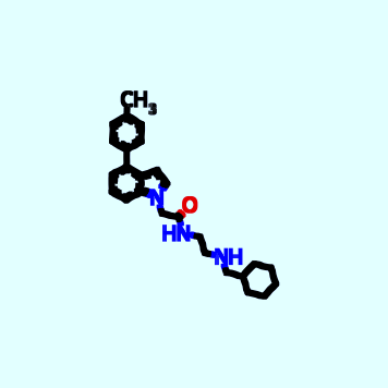 Cc1ccc(-c2cccc3c2ccn3CC(=O)NCCNCC2CCCCC2)cc1